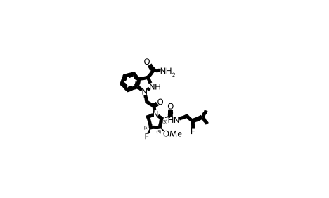 CO[C@H]1[C@@H](C(=O)NCC(F)=C(C)C)N(C(=O)CN2NC(C(N)=O)c3ccccc32)C[C@@H]1F